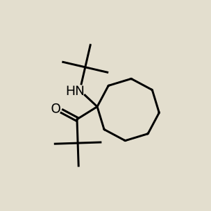 CC(C)(C)NC1(C(=O)C(C)(C)C)CCCCCCC1